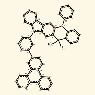 CC1(C)c2ccccc2N(c2ccccc2)c2cc3c4ccccc4n(-c4cccc(-c5ccc6c7ccccc7c7ccccc7c6c5)c4)c3cc21